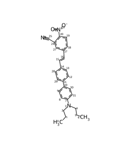 CCCN(CCC)c1ccc(-c2ccc(C=Cc3ccc([N+](=O)[O-])c(C#N)c3)cc2)cc1